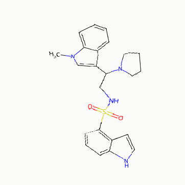 Cn1cc(C(CNS(=O)(=O)c2cccc3[nH]ccc23)N2CCCC2)c2ccccc21